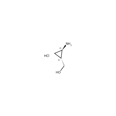 Cl.N[C@@H]1C[C@H]1CO